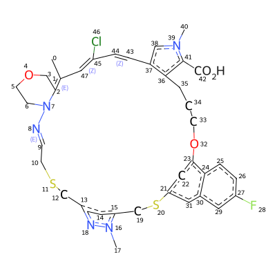 CC1=C2\COCCN2/N=C/CSCc2cc(n(C)n2)CSc2cc(c3ccc(F)cc3c2)OCCCc2c(cn(C)c2C(=O)O)\C=C/C(Cl)=C/1